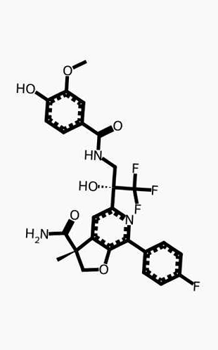 COc1cc(C(=O)NC[C@](O)(c2cc3c(c(-c4ccc(F)cc4)n2)OC[C@]3(C)C(N)=O)C(F)(F)F)ccc1O